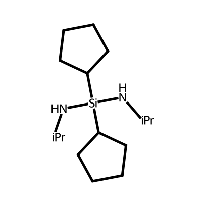 CC(C)N[Si](NC(C)C)(C1CCCC1)C1CCCC1